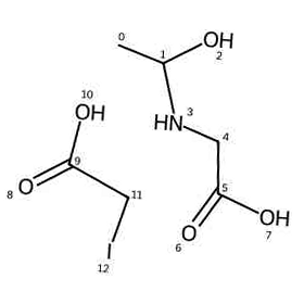 CC(O)NCC(=O)O.O=C(O)CI